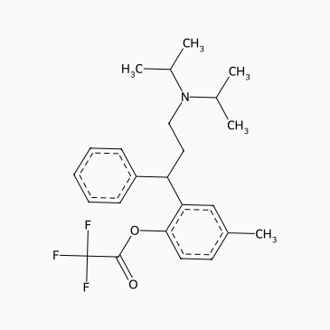 Cc1ccc(OC(=O)C(F)(F)F)c(C(CCN(C(C)C)C(C)C)c2ccccc2)c1